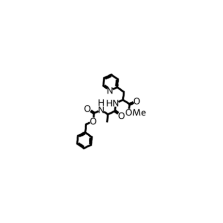 COC(=O)C(Cc1ccccn1)NC(=O)C(C)NC(=O)OCc1ccccc1